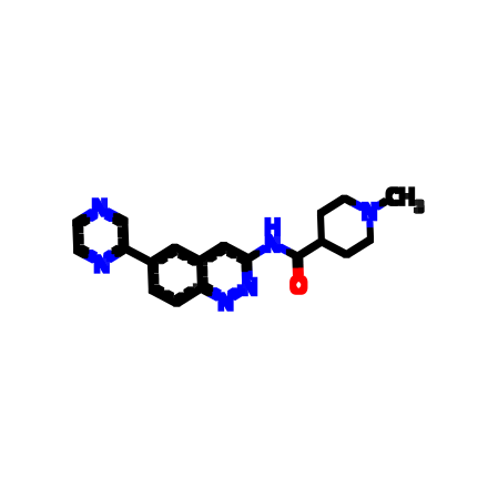 CN1CCC(C(=O)Nc2cc3cc(-c4cnccn4)ccc3nn2)CC1